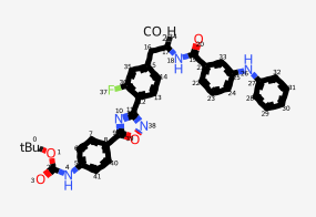 CC(C)(C)OC(=O)Nc1ccc(-c2nc(-c3ccc(CC(NC(=O)c4cccc(Nc5ccccc5)c4)C(=O)O)cc3F)no2)cc1